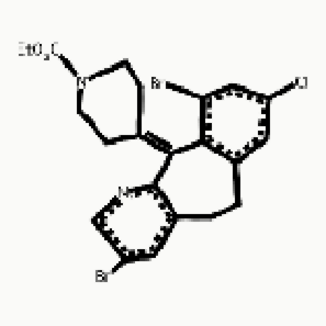 CCOC(=O)N1CCC(=C2c3ncc(Br)cc3CCc3cc(Cl)cc(Br)c32)CC1